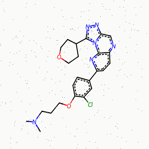 CN(C)CCCOc1ccc(-c2ccc3ncc4nnc(C5CCOCC5)n4c3n2)cc1Cl